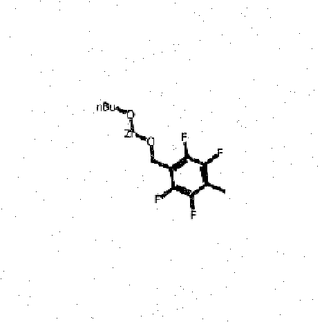 CCCC[O][Zr][O]Cc1c(F)c(F)c(C)c(F)c1F